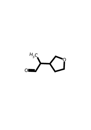 CC(C=O)C1CCOC1